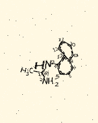 C[C@H](N)Nc1cccc2ccccc12